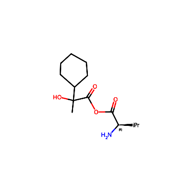 CC(C)[C@@H](N)C(=O)OC(=O)C(C)(O)C1CCCCC1